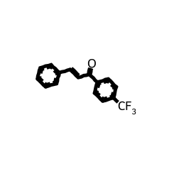 O=C(C=Cc1ccccc1)c1ccc(C(F)(F)F)cc1